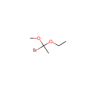 CCOC(C)(Br)OC